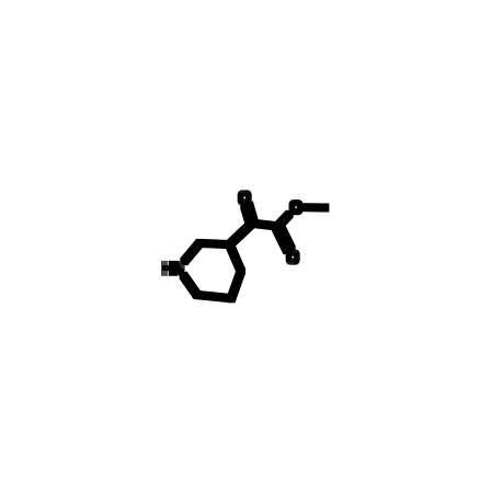 COC(=O)C(=O)C1CCCNC1